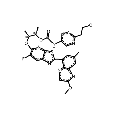 COc1cnc2c(-c3nc4cc(F)c(O[C@@H](C)[C@@H](C)OC(=O)Nc5cnc(CCO)nc5)nc4s3)cc(C)cc2n1